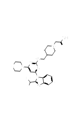 NC(=O)CN1CCC(CNc2nc(N3CCOCC3)cc(-n3c(C(F)F)nc4ccccc43)n2)CC1